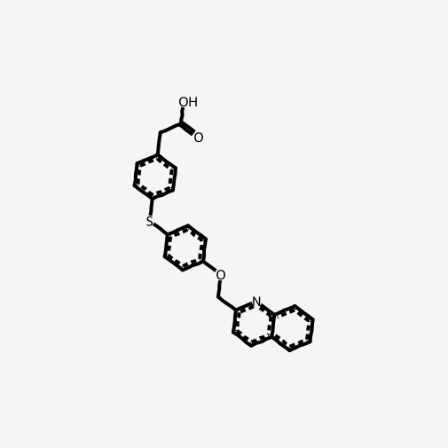 O=C(O)Cc1ccc(Sc2ccc(OCc3ccc4ccccc4n3)cc2)cc1